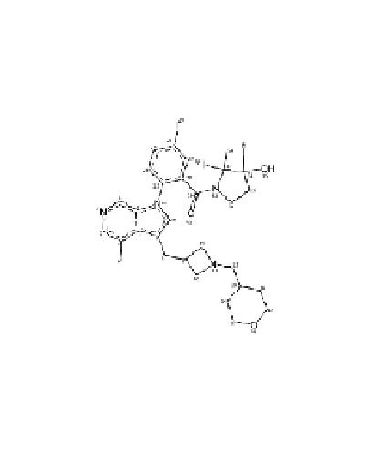 Cc1cncc2c1c(CC1CN(CC3CCOCC3)C1)cn2-c1ccc(F)cc1C(=O)N1CCC(O)(I)C1(C)I